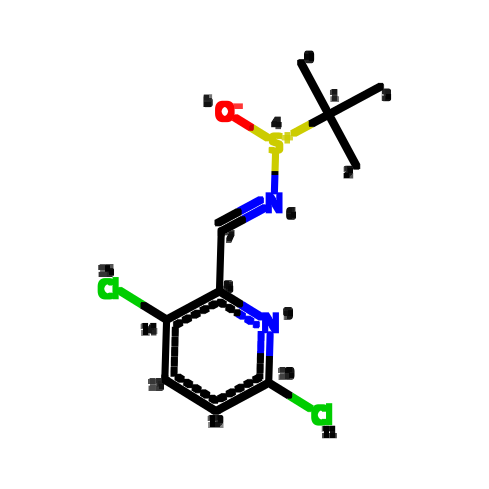 CC(C)(C)[S+]([O-])N=Cc1nc(Cl)ccc1Cl